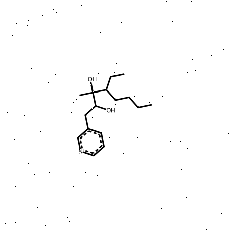 CCCCC(CC)C(C)(O)C(O)Cc1cccnc1